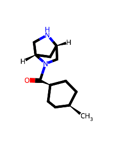 C[C@H]1CC[C@@H](C(=O)N2C[C@@H]3C[C@H]2CN3)CC1